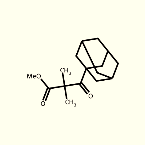 COC(=O)C(C)(C)C(=O)C12CC3CC(CC(C3)C1)C2